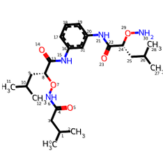 CC(C)CC(=O)NO[C@H](CC(C)C)C(=O)Nc1cccc(NC(=O)[C@@H](CC(C)C)ON)c1